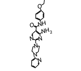 Nc1nc(N2CCN(c3ccccn3)CC2)ncc1C(=O)Nc1ccc(OCCF)cc1